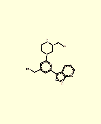 CC(C)C[C@H]1CN(c2cc(CO)cc(-c3n[nH]c4ncccc34)n2)CCN1